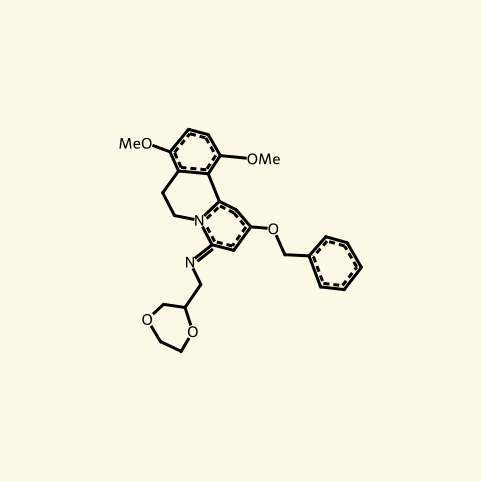 COc1ccc(OC)c2c1CCn1c-2cc(OCc2ccccc2)c/c1=N\CC1COCCO1